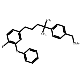 COCc1ccc(C(C)(C)CCCc2ccc(F)c(Oc3ccccc3)c2)cc1